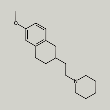 COc1ccc2c(c1)CCC(CCN1CCCCC1)C2